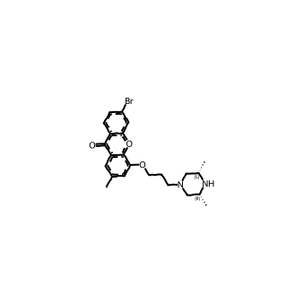 Cc1cc(OCCCN2C[C@@H](C)N[C@@H](C)C2)c2oc3cc(Br)ccc3c(=O)c2c1